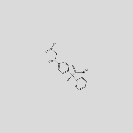 O=C(C[N+](=O)[O-])c1ccc(C(Cl)(C(=O)NCl)c2ccccc2)cc1